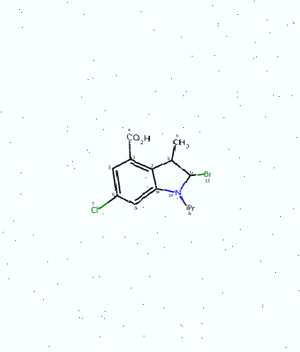 CC1c2c(C(=O)O)cc(Cl)cc2N(C(C)C)C1Br